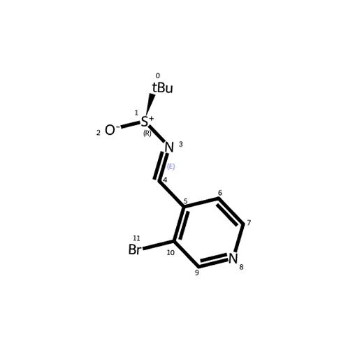 CC(C)(C)[S@+]([O-])/N=C/c1ccncc1Br